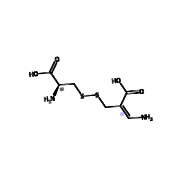 N/C=C(/CSSC[C@@H](N)C(=O)O)C(=O)O